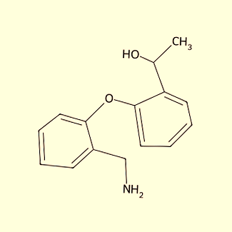 CC(O)c1ccccc1Oc1ccccc1CN